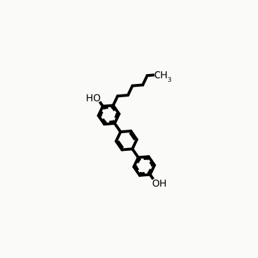 CCCCCCc1cc(C2C=CC(c3ccc(O)cc3)C=C2)ccc1O